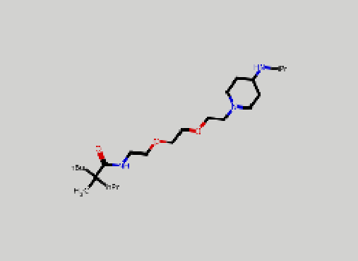 CCCCC(C)(CCC)C(=O)NCCOCCOCCN1CCC(NC(C)C)CC1